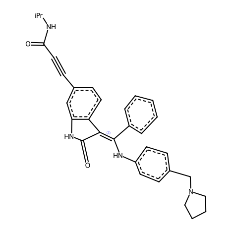 CC(C)NC(=O)C#Cc1ccc2c(c1)NC(=O)/C2=C(\Nc1ccc(CN2CCCC2)cc1)c1ccccc1